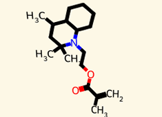 C=C(C)C(=O)OCCN1C2CCCCC2C(C)CC1(C)C